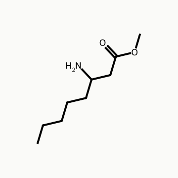 CCCCCC(N)CC(=O)OC